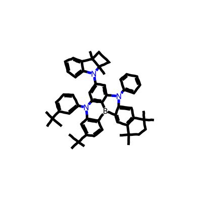 CC(C)(C)c1cccc(N2c3cc(C(C)(C)C)ccc3B3c4cc5c(cc4N(c4ccccc4)c4cc(N6c7ccccc7C7(C)CCC67C)cc2c43)C(C)(C)CCC5(C)C)c1